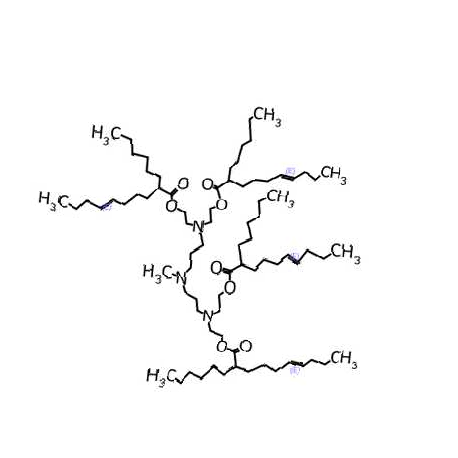 CCC/C=C/CCCC(CCCCCC)C(=O)OCCN(CCCN(C)CCCN(CCOC(=O)C(CCC/C=C/CCC)CCCCCC)CCOC(=O)C(CCC/C=C/CCC)CCCCCC)CCOC(=O)C(CCC/C=C/CCC)CCCCCC